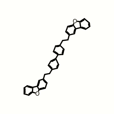 c1ccc2c(c1)oc1ccc(CCc3ccc(-c4ccc(CCc5ccc6oc7ccccc7c6c5)cc4)cc3)cc12